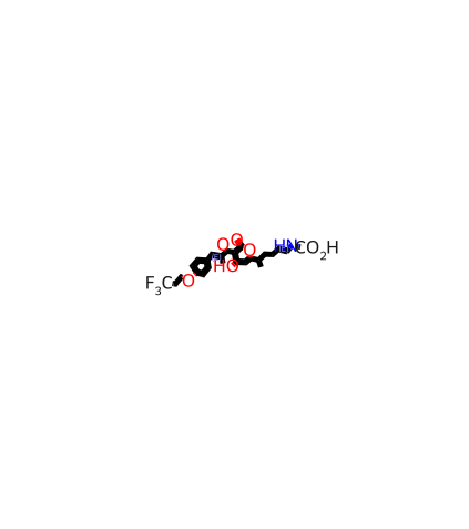 C/C(=C\c1ccc(OCCC(F)(F)F)cc1)C(=O)c1c(O)cc(C(C)CC/C=C/NC(=O)O)oc1=O